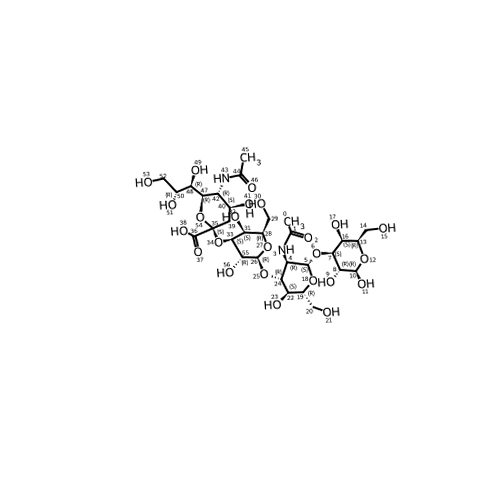 CC(=O)N[C@H]1[C@H](O[C@@H]2[C@@H](O)[C@H](O)O[C@H](CO)[C@@H]2O)O[C@H](CO)[C@@H](O)[C@@H]1O[C@@H]1O[C@H](CO)[C@H](O)[C@H](O[C@]2(C(=O)O)C[C@H](O)[C@@H](NC(C)=O)[C@H]([C@H](O)[C@H](O)CO)O2)[C@H]1O